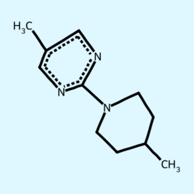 Cc1cnc(N2CCC(C)CC2)nc1